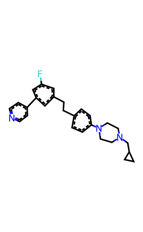 Fc1cc(CCc2ccc(N3CCN(CC4CC4)CC3)cc2)cc(-c2ccncc2)c1